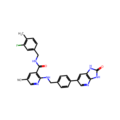 Cc1ccc(CNC(=O)c2cc(C#N)cnc2NCc2ccc(-c3cnc4[nH]c(=O)[nH]c4c3)cc2)cc1F